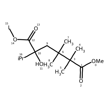 COC(=O)C(C)(C)C(C)(C)CC(O)(C(=O)OI)C(C)C